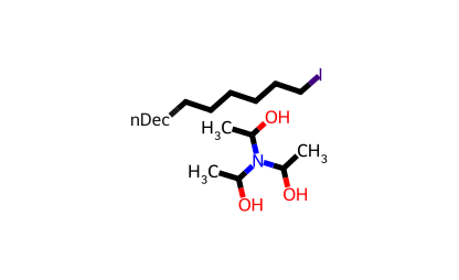 CC(O)N(C(C)O)C(C)O.CCCCCCCCCCCCCCCCI